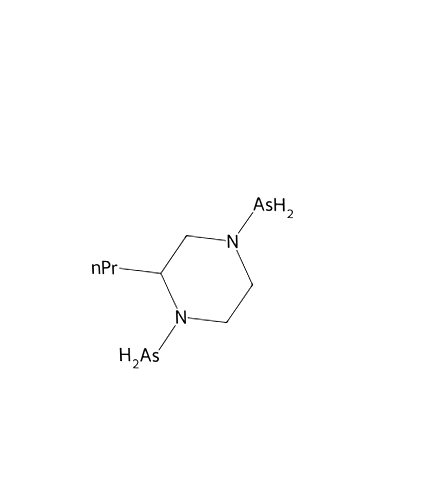 CCCC1CN([AsH2])CCN1[AsH2]